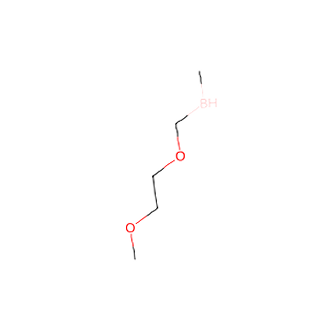 CBCOCCOC